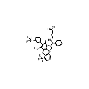 Cc1c(Cc2c(F)cccc2C(F)(F)F)c2n(c(=O)c1-c1cccc(OC(F)(F)F)c1)C(C(NCCCC(=O)O)c1ccccc1)CS2